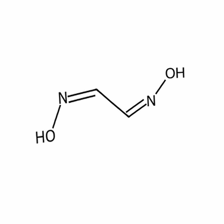 O/N=C\C=N/O